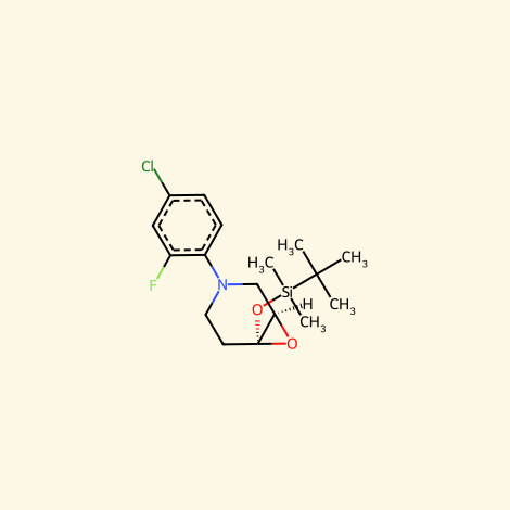 CC(C)(C)[Si](C)(C)O[C@]12CCN(c3ccc(Cl)cc3F)C[C@H]1O2